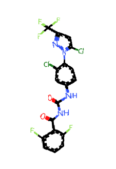 O=C(NC(=O)c1c(F)cccc1F)Nc1ccc(-n2nc(C(F)(F)F)cc2Cl)c(Cl)c1